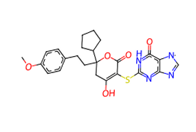 COc1ccc(CCC2(C3CCCC3)CC(O)=C(Sc3nc4c(c(=O)[nH]3)[N]C=N4)C(=O)O2)cc1